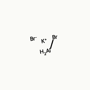 [AlH2][Br].[Br-].[K+]